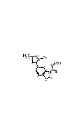 Cn1cc(-c2ccc3c(c2)N(C(=O)OC(C)(C)C)CC3)c(F)n1